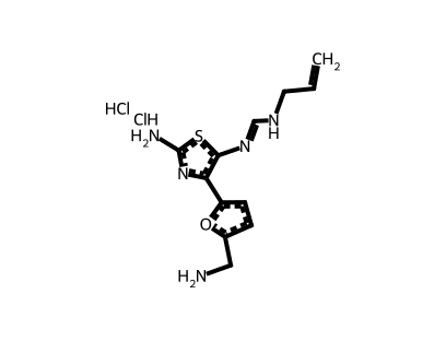 C=CCNC=Nc1sc(N)nc1-c1ccc(CN)o1.Cl.Cl